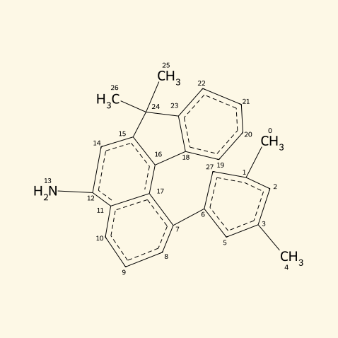 Cc1cc(C)cc(-c2cccc3c(N)cc4c(c23)-c2ccccc2C4(C)C)c1